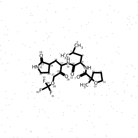 CC(C)CC(NC(=O)C1(C)CCCO1)C(=O)NC(CC1CCNC1=O)C(=O)COC(F)(F)F